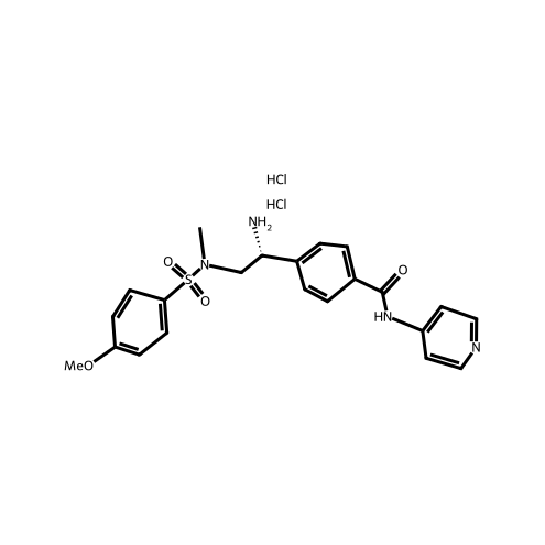 COc1ccc(S(=O)(=O)N(C)C[C@H](N)c2ccc(C(=O)Nc3ccncc3)cc2)cc1.Cl.Cl